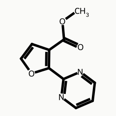 COC(=O)c1ccoc1-c1ncccn1